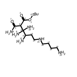 CC(C)(C)OC(=O)C(C(N)=O)C(N)(N)C(N)CCNCCCCN